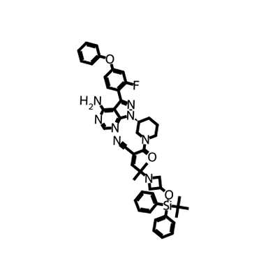 CC(C)(/C=C(/C#N)C(=O)N1CCC[C@@H](n2nc(-c3ccc(Oc4ccccc4)cc3F)c3c(N)ncnc32)C1)N1CC(O[Si](c2ccccc2)(c2ccccc2)C(C)(C)C)C1